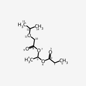 CCC(=O)OC(C)OC(=O)COC(C)C